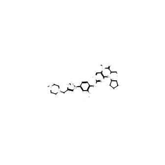 CCC1C(=O)N(C)c2cnc(Nc3ccc(-n4cc(CN5CCN(C)CC5)nn4)cc3OC)nc2N1C1CCCC1